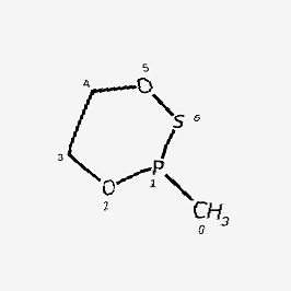 CP1OCCOS1